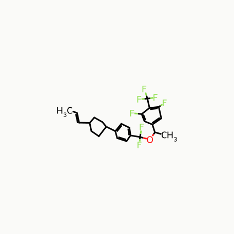 C/C=C/C1CCC(c2ccc(C(F)(F)OC(C)c3cc(F)c(C(F)(F)F)c(F)c3)cc2)CC1